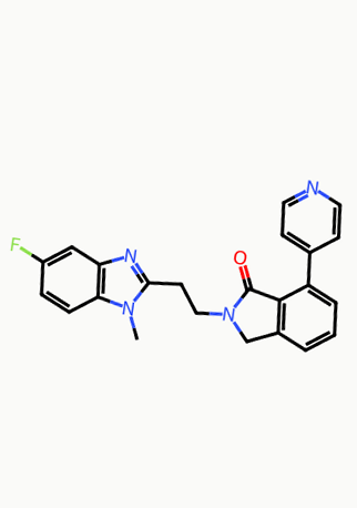 Cn1c(CCN2Cc3cccc(-c4ccncc4)c3C2=O)nc2cc(F)ccc21